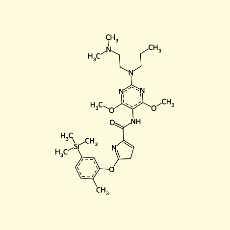 CCCN(CCN(C)C)c1nc(OC)c(NC(=O)C2=CCC(Oc3cc([Si](C)(C)C)ccc3C)=N2)c(OC)n1